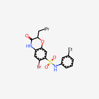 CCc1cccc(NS(=O)(=O)c2cc3c(cc2Br)NC(=O)C(CC(C)C)O3)c1